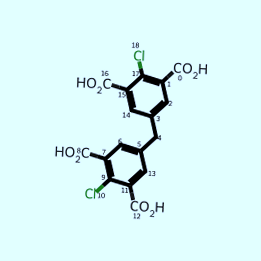 O=C(O)c1cc(Cc2cc(C(=O)O)c(Cl)c(C(=O)O)c2)cc(C(=O)O)c1Cl